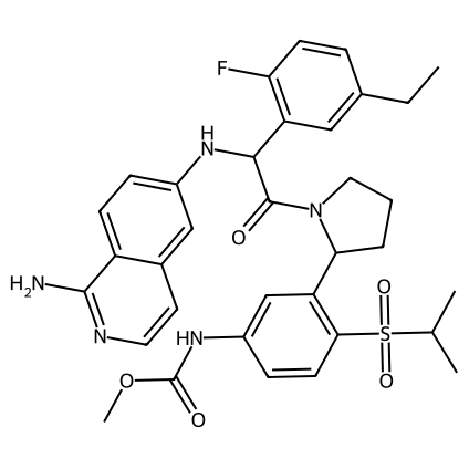 CCc1ccc(F)c(C(Nc2ccc3c(N)nccc3c2)C(=O)N2CCCC2c2cc(NC(=O)OC)ccc2S(=O)(=O)C(C)C)c1